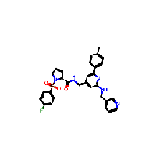 Cc1ccc(-c2cc(CNC(=O)[C@@H]3C=CCN3S(=O)(=O)c3ccc(F)cc3)cc(NCc3cccnc3)n2)cc1